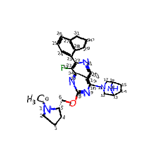 CN1CCC[C@H]1COc1nc(N2CC3CCC(C2)N3)c2cnc(-c3cccc4c3CCC4)c(F)c2n1